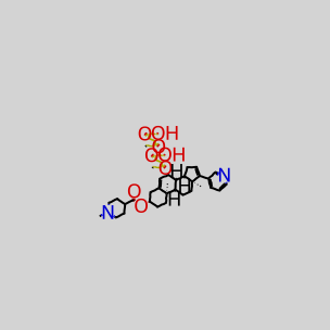 CN1CCC(C(=O)O[C@H]2CC[C@@]3(C)C(=CC[C@@H]4[C@@H]3CC[C@]3(C)C(c5cccnc5)=CC[C@@H]43)C2)CC1.CS(=O)(=O)O.CS(=O)(=O)O